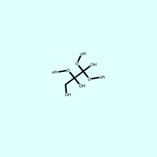 CCCOC(O)(CO)C(O)(OCCC)OCCC